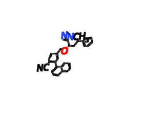 Cn1cncc1C(CCc1ccccc1)OCc1ccc(C#N)c(-c2cccc3ccccc23)c1